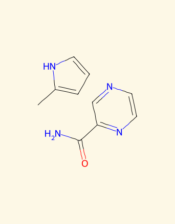 Cc1ccc[nH]1.NC(=O)c1cnccn1